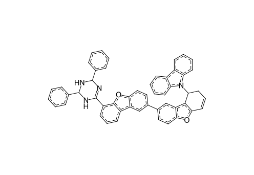 C1=Cc2oc3ccc(-c4ccc5oc6c(C7=NC(c8ccccc8)NC(c8ccccc8)N7)cccc6c5c4)cc3c2C(n2c3ccccc3c3ccccc32)C1